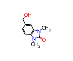 Cn1c(=O)n(C)c2cc(CO)ccc21